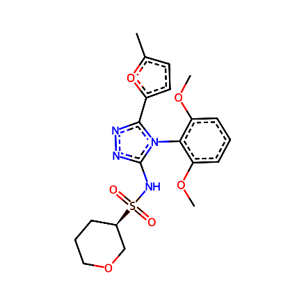 COc1cccc(OC)c1-n1c(NS(=O)(=O)[C@@H]2CCCOC2)nnc1-c1ccc(C)o1